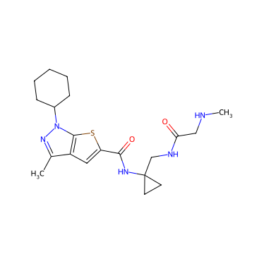 CNCC(=O)NCC1(NC(=O)c2cc3c(C)nn(C4CCCCC4)c3s2)CC1